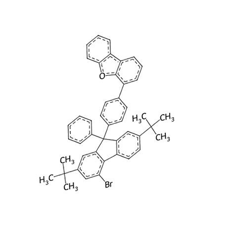 CC(C)(C)c1ccc2c(c1)C(c1ccccc1)(c1ccc(-c3cccc4c3oc3ccccc34)cc1)c1cc(C(C)(C)C)cc(Br)c1-2